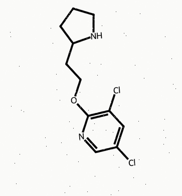 Clc1cnc(OCCC2CCCN2)c(Cl)c1